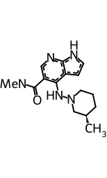 CNC(=O)c1cnc2[nH]ccc2c1NN1CCC[C@@H](C)C1